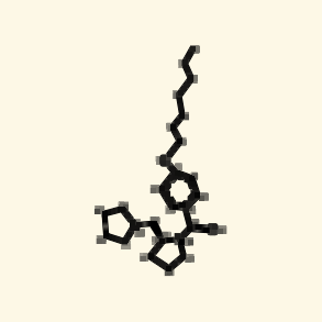 CCCCCCCOc1ccc(C(=O)N2CCC[C@H]2CN2CCCC2)cc1